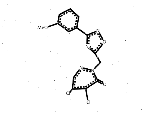 COc1cccc(-c2noc(Cn3ncc(Cl)c(Cl)c3=O)n2)c1